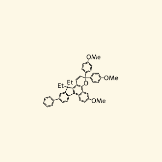 CCC1(CC)c2cc(-c3ccccc3)ccc2-c2c1c1c(c3cc(OC)ccc23)OC(c2ccc(OC)cc2)(c2ccc(OC)cc2)C=C1